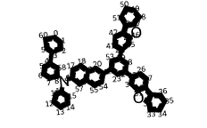 c1ccc(-c2cccc(N(c3ccccc3)c3ccc4cc(-c5cc(-c6ccc7c(c6)oc6ccccc67)cc(-c6ccc7c(c6)oc6ccccc67)c5)ccc4c3)c2)cc1